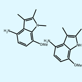 COc1ccc(N)c2c(C)c(C)[nH]c12.COc1ccc(N)c2c(C)c(C)n(C)c12